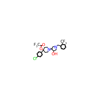 O=C(OC1(c2ccc(Cl)cc2)CCN([C@H]2CN(Cc3ccccc3C(F)(F)F)CC2O)CC1)C(F)(F)F